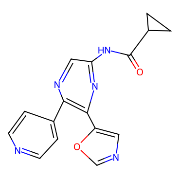 O=C(Nc1cnc(-c2ccncc2)c(-c2cnco2)n1)C1CC1